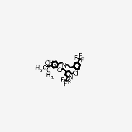 CC(C)(C)c1ccc(CN(CCc2cccc(C(F)(F)F)c2)C(=O)c2cc(Cl)nc(C(F)(F)F)c2)cc1